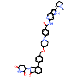 CN1CCC[C@@H]1c1cc2cnc(NC(=O)c3ccc(N4CCC(OCc5ccc(-c6cccc7c6CN(C6CCC(=O)NC6=O)C7=O)cc5)CC4)cc3)cc2[nH]1